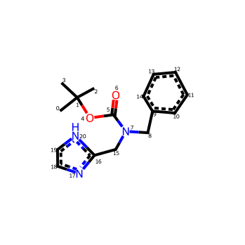 CC(C)(C)OC(=O)N(Cc1ccccc1)Cc1ncc[nH]1